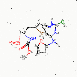 Cc1c(C[C@H](CO)NC(=O)OC(C)(C)C)sc2c(N(C)c3ccco3)nc(Cl)nc12